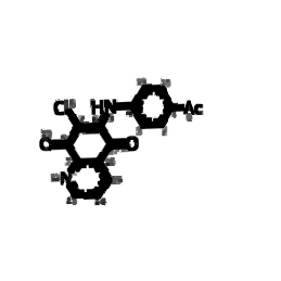 CC(=O)c1ccc(NC2=C(Cl)C(=O)c3ncccc3C2=O)cc1